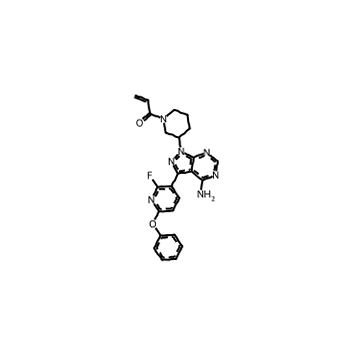 C=CC(=O)N1CCCC(n2nc(-c3ccc(Oc4ccccc4)nc3F)c3c(N)ncnc32)C1